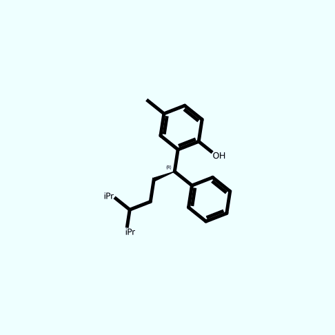 Cc1ccc(O)c([C@H](CCC(C(C)C)C(C)C)c2ccccc2)c1